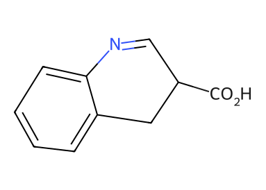 O=C(O)C1C=Nc2ccccc2C1